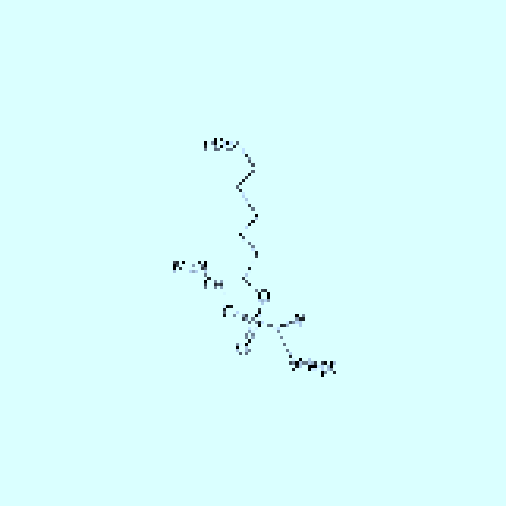 CCCCCCCCCCCCCCCCOS(=O)(=O)C(F)CCCCCCC.CNC